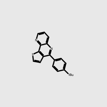 CC(C)(C)c1ccc(-c2nc3cccnc3c3sccc23)cc1